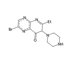 CCC1=Nc2ncc(Br)nc2C(=O)C1N1CCNCC1